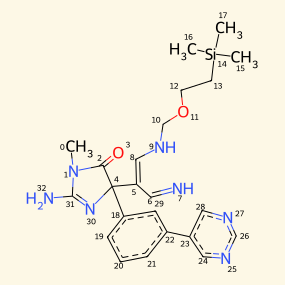 CN1C(=O)C(/C(C=N)=C/NCOCC[Si](C)(C)C)(c2cccc(-c3cncnc3)c2)N=C1N